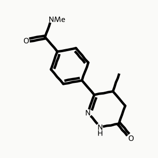 CNC(=O)c1ccc(C2=NNC(=O)CC2C)cc1